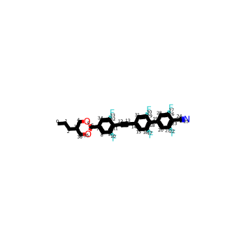 CCCC1COC(c2cc(F)c(C#Cc3cc(F)c(-c4cc(F)c(C#N)c(F)c4)c(F)c3)c(F)c2)OC1